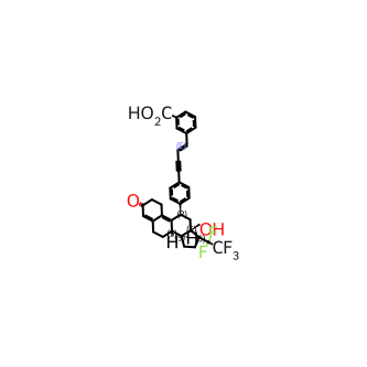 C[C@]12C[C@H](c3ccc(C#C/C=C/c4cccc(C(=O)O)c4)cc3)C3=C4CCC(=O)C=C4CC[C@H]3[C@@H]1CC[C@@]2(O)C(F)(F)C(F)(F)F